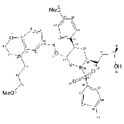 COCCCN1CCOc2ccc(CO[C@H]3CN(S(=O)(=O)c4ccc(C)cc4)[C@H](CC[C@@H](C)O)C[C@@H]3c3ccc(OC)cc3)cc21